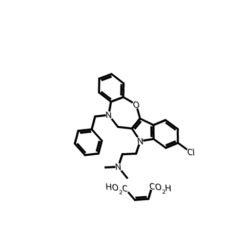 CN(C)CCn1c2c(c3ccc(Cl)cc31)Oc1ccccc1N(Cc1ccccc1)C2.O=C(O)/C=C\C(=O)O